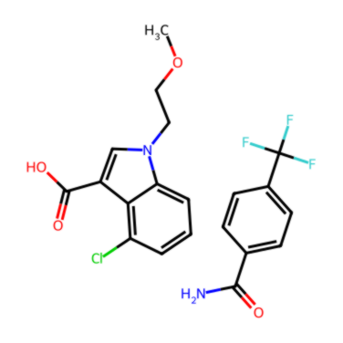 COCCn1cc(C(=O)O)c2c(Cl)cccc21.NC(=O)c1ccc(C(F)(F)F)cc1